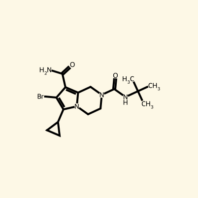 CC(C)(C)NC(=O)N1CCn2c(c(C(N)=O)c(Br)c2C2CC2)C1